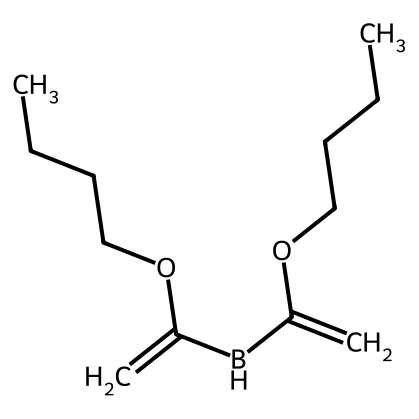 C=C(BC(=C)OCCCC)OCCCC